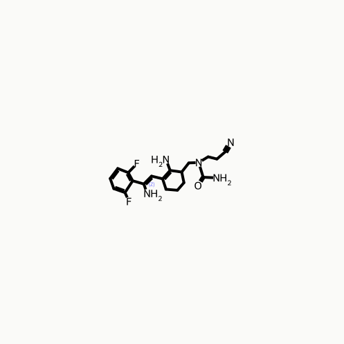 N#CCCN(CC1CCCC(/C=C(\N)c2c(F)cccc2F)=C1N)C(N)=O